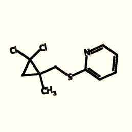 CC1(CSc2ccccn2)CC1(Cl)Cl